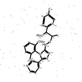 COc1cccc(OC)c1-n1c(NSC(C)C(OC)c2ncc(F)cn2)nnc1-c1cccnc1